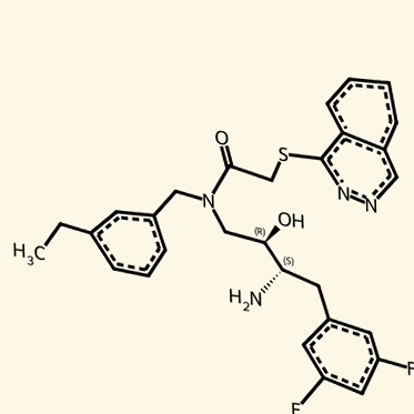 CCc1cccc(CN(C[C@@H](O)[C@@H](N)Cc2cc(F)cc(F)c2)C(=O)CSc2nncc3ccccc23)c1